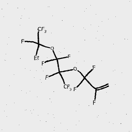 C=C(F)C(F)(F)OC(F)(C(F)(F)F)C(F)(F)OC(F)(CC)C(F)(F)F